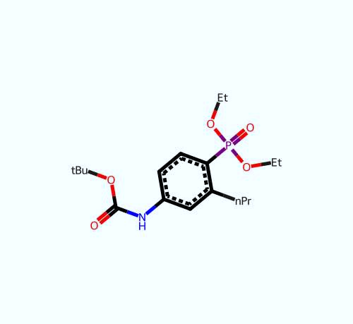 CCCc1cc(NC(=O)OC(C)(C)C)ccc1P(=O)(OCC)OCC